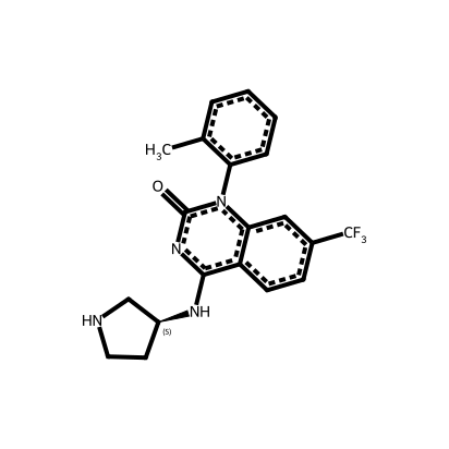 Cc1ccccc1-n1c(=O)nc(N[C@H]2CCNC2)c2ccc(C(F)(F)F)cc21